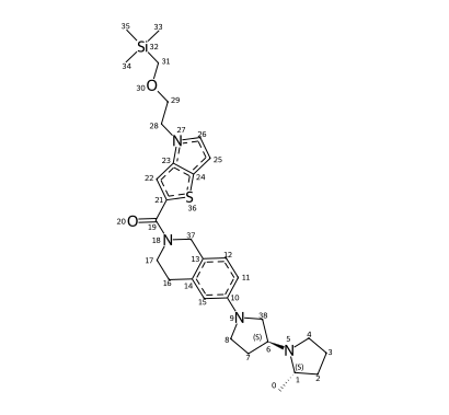 C[C@H]1CCCN1[C@H]1CCN(c2ccc3c(c2)CCN(C(=O)c2cc4c(ccn4CCOC[Si](C)(C)C)s2)C3)C1